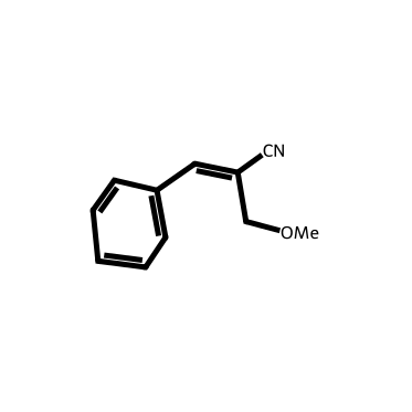 COCC(C#N)=Cc1ccccc1